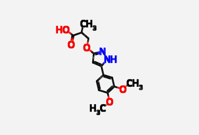 COc1ccc(-c2cc(OCC(C)C(=O)O)n[nH]2)cc1OC